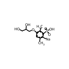 Cc1cc(OCC(O)CO)c(C)c(S(=O)(=O)O)[c]1[Na]